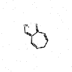 C/C=C1/C=CCC=CC1=O